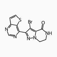 O=C1NCCn2nc(-c3ncnc4ccsc34)c(Br)c21